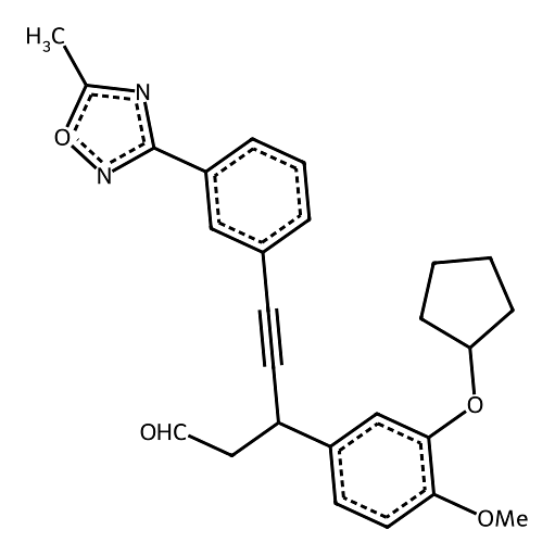 COc1ccc(C(C#Cc2cccc(-c3noc(C)n3)c2)CC=O)cc1OC1CCCC1